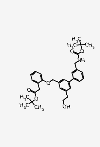 CC(C)(C)OC(=O)Cc1ccccc1OCc1cc(CCO)cc(-c2cccc(CNC(=O)OC(C)(C)C)c2)c1